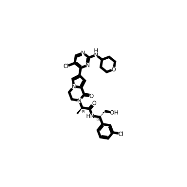 C[C@H](C(=O)N[C@H](CO)c1cccc(Cl)c1)N1CCn2cc(-c3nc(NC4CCOCC4)ncc3Cl)cc2C1=O